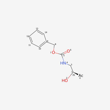 CC(=O)[C@@H](O)CNC(=O)OCc1ccccc1